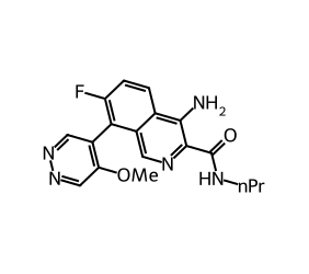 CCCNC(=O)c1ncc2c(-c3cnncc3OC)c(F)ccc2c1N